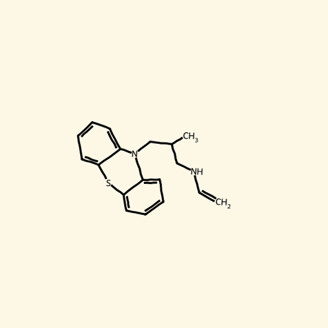 C=CNCC(C)CN1c2ccccc2Sc2ccccc21